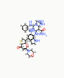 NC(=O)C1C(Nc2ccc(C3CSC4C(=O)C=C(N5CCOCC5)OC43)c3c2NCC3)NC(N[C@H]2CCCC[C@H]2N)N2CNNC12